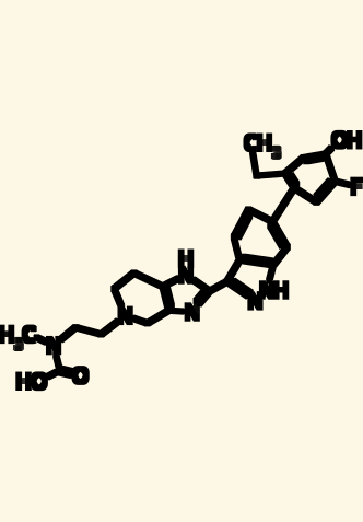 CCc1cc(O)c(F)cc1-c1ccc2c(-c3nc4c([nH]3)CCN(CCN(C)C(=O)O)C4)n[nH]c2c1